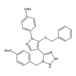 COc1ccc(CN2NNN=C2c2cnn(-c3ccc(OC)cc3)c2SCc2ccccc2)cc1